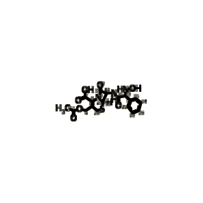 CC(=O)OCC1=C(C(=O)O)N2C(=O)[C@@H](NC(=O)C(NO)c3ccccc3)[C@H]2SC1